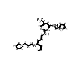 C\C=C/C(=C\C=C\NC1=NC=C(C(F)(F)F)CC(NCc2ccco2)=N1)OCCCN1CCCC1